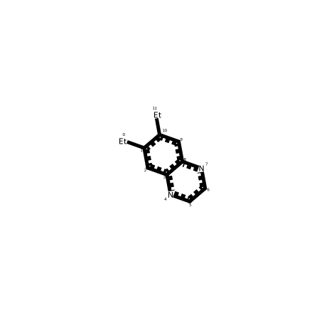 CCc1cc2nccnc2cc1CC